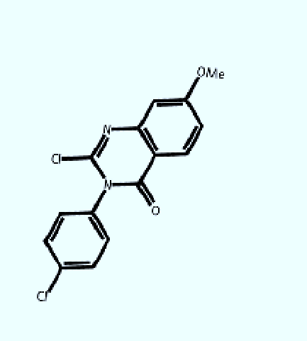 COc1ccc2c(=O)n(-c3ccc(Cl)cc3)c(Cl)nc2c1